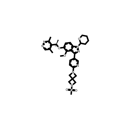 COc1c(O[C@H](C)c2c(C)cnnc2C)ccc2c1c(-c1ccc(N3CC4(C3)CN(S(C)(=O)=O)C4)nc1)nn2C1CCCCO1